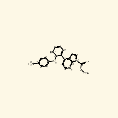 CC(C)(C)OC(=O)n1ccc2c(C3=CC=CNC3Oc3ccc(N)cc3)ccnc21